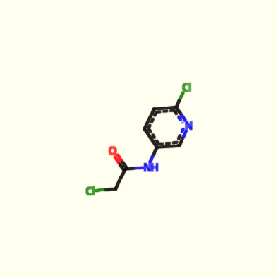 O=C(CCl)Nc1ccc(Cl)nc1